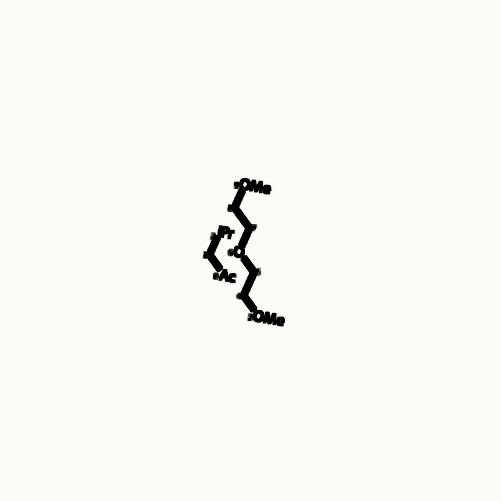 CC(=O)CC(C)C.COCCOCCOC